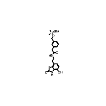 CC(C)(C)[Si](C)(C)OCc1cccc(CC(=O)NCCc2ccc(O)c3[nH]c(=O)sc23)c1